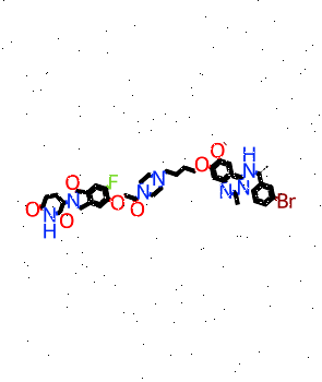 COc1cc2c(N[C@H](C)c3cccc(Br)c3)nc(C)nc2cc1OCCCCN1CCN(C(=O)COc2cc3c(cc2F)C(=O)N(C2CCC(=O)NC2=O)C3)CC1